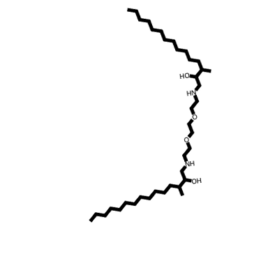 CCCCCCCCCCCCC(C)C(O)CNCCOCCOCCNCC(O)C(C)CCCCCCCCCCCC